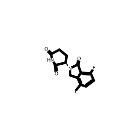 O=C1CC[C@H](N2Cc3c(I)ccc(F)c3C2=O)C(=O)N1